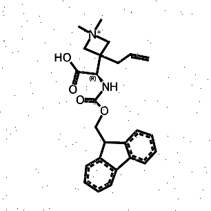 C=CCC1([C@@H](NC(=O)OCC2c3ccccc3-c3ccccc32)C(=O)O)C[N+](C)(C)C1